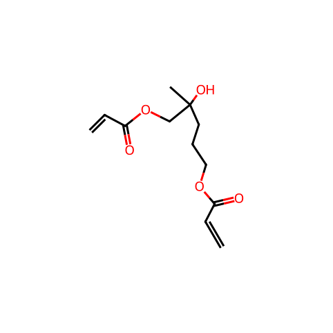 C=CC(=O)OCCCC(C)(O)COC(=O)C=C